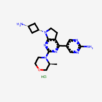 C[C@H]1COCCN1c1nc(-c2cnc(N)nc2)c2c(n1)N([C@H]1C[C@@H](N)C1)CC2.Cl